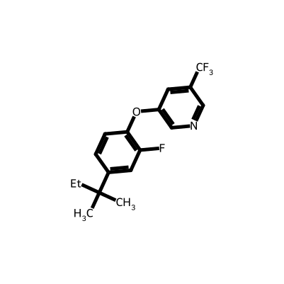 CCC(C)(C)c1ccc(Oc2cncc(C(F)(F)F)c2)c(F)c1